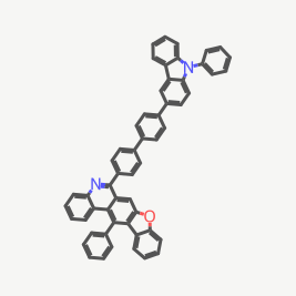 c1ccc(-c2c3c(cc4c(-c5ccc(-c6ccc(-c7ccc8c(c7)c7ccccc7n8-c7ccccc7)cc6)cc5)nc5ccccc5c24)oc2ccccc23)cc1